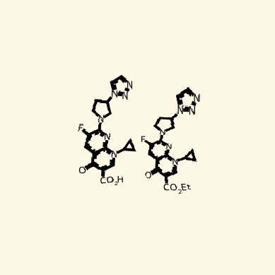 CCOC(=O)c1cn(C2CC2)c2nc(N3CCC(n4ccnn4)C3)c(F)cc2c1=O.O=C(O)c1cn(C2CC2)c2nc(N3CCC(n4ccnn4)C3)c(F)cc2c1=O